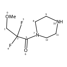 COCC(F)(F)C(=O)N1CCNCC1